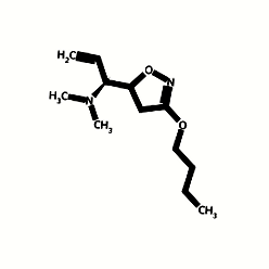 C=C[C@@H](C1CC(OCCCC)=NO1)N(C)C